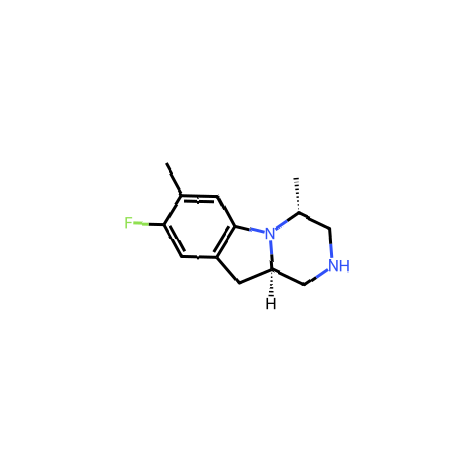 Cc1cc2c(cc1F)C[C@@H]1CNC[C@@H](C)N21